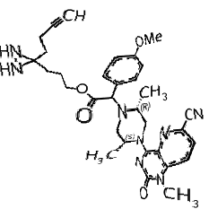 C#CCCC1(CCCOC(=O)C(c2ccc(OC)cc2)N2C[C@H](C)N(c3nc(=O)n(C)c4ccc(C#N)nc34)C[C@H]2C)NN1